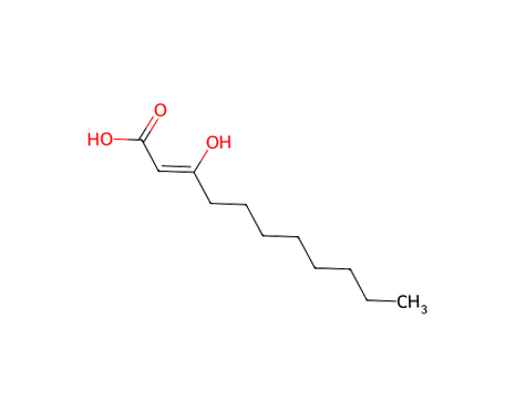 CCCCCCCCC(O)=CC(=O)O